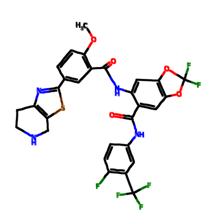 COc1ccc(-c2nc3c(s2)CNCC3)cc1C(=O)Nc1cc2c(cc1C(=O)Nc1ccc(F)c(C(F)(F)F)c1)OC(F)(F)O2